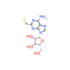 Nc1nc(C=S)nc2c1ncn2[C@@H]1O[C@H](CO)[C@@H](O)[C@H]1O